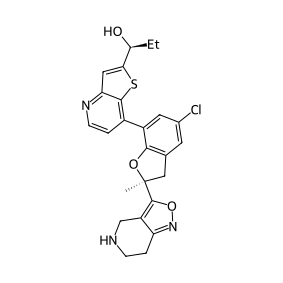 CC[C@H](O)c1cc2nccc(-c3cc(Cl)cc4c3O[C@](C)(c3onc5c3CNCC5)C4)c2s1